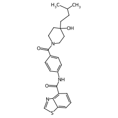 CC(C)CCC1(O)CCN(C(=O)c2ccc(NC(=O)c3cccc4scnc34)cc2)CC1